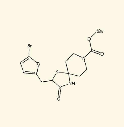 CC(C)(C)OC(=O)N1CCC2(CC1)NC(=O)C(Cc1ccc(Br)o1)S2